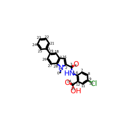 Cn1c(C(=O)Nc2ccc(Cl)cc2C(=O)O)cc2cc(-c3ccccc3)ccc21